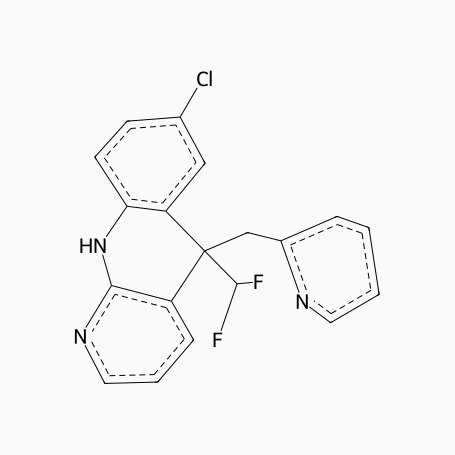 FC(F)C1(Cc2ccccn2)c2cc(Cl)ccc2Nc2ncccc21